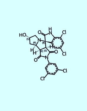 O=C1[C@H]2[C@H]3C[C@H](O)CN3[C@]3(C(=O)Nc4c(Cl)cc(Cl)cc43)[C@H]2C(=O)N1c1cc(Cl)cc(Cl)c1